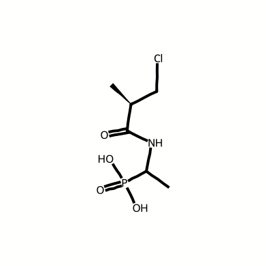 CC(NC(=O)[C@@H](C)CCl)P(=O)(O)O